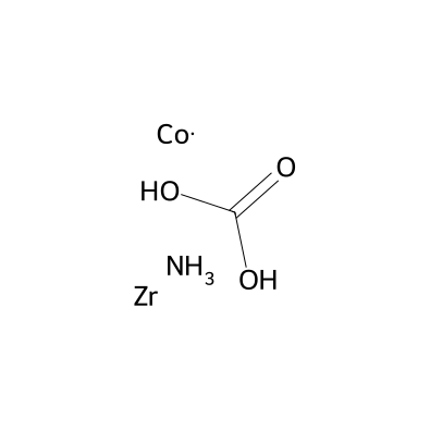 N.O=C(O)O.[Co].[Zr]